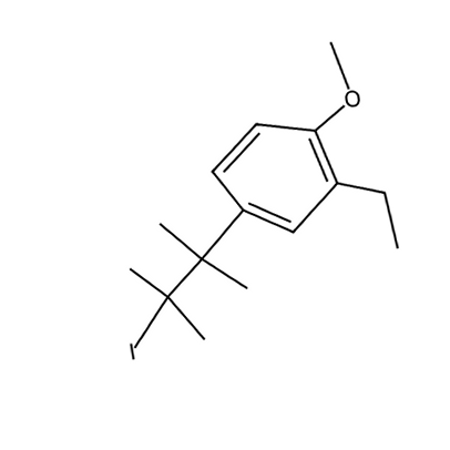 CCc1cc(C(C)(C)C(C)(C)I)ccc1OC